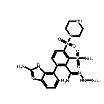 NN/N=C(\N)c1c(-c2cccc3nc(N)[nH]c23)ccc(S(=O)(=O)N2CCNCC2)c1S(N)(=O)=O